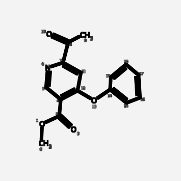 COC(=O)c1cnc(C(C)=O)cc1Oc1ccccc1